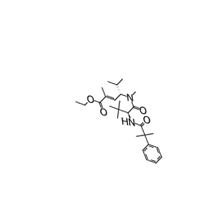 CCOC(=O)/C(C)=C/[C@H](C(C)C)N(C)C(=O)[C@@H](NC(=O)C(C)(C)c1ccccc1)C(C)(C)C